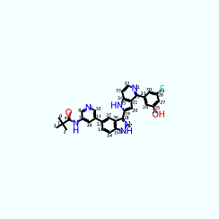 CC(C)(C)C(=O)Nc1cncc(-c2ccc3[nH]nc(-c4cc5c(-c6cc(O)cc(F)c6)nccc5[nH]4)c3c2)c1